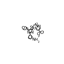 CCOC(=O)c1cnc(N(C)Cc2cc3nc(-c4cccc(N)c4)nc(N4CCOCC4)c3s2)nc1